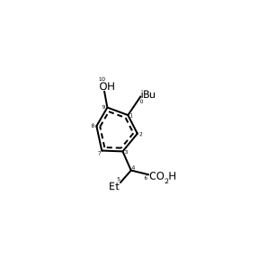 CCC(C)c1cc(C(CC)C(=O)O)ccc1O